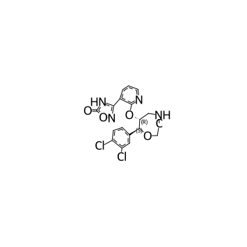 O=c1[nH]c(-c2cccnc2O[C@@H]2CNCCO[C@H]2c2ccc(Cl)c(Cl)c2)no1